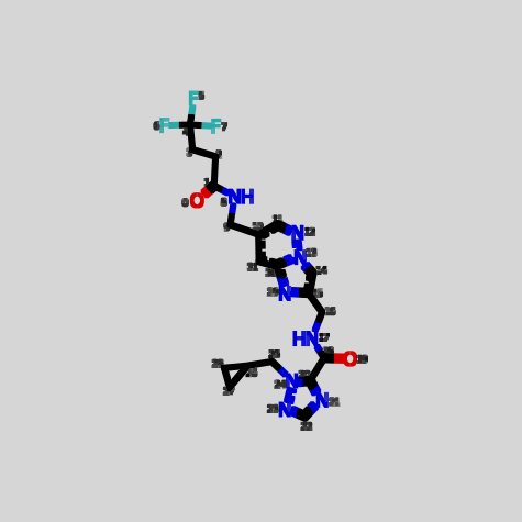 O=C(CCC(F)(F)F)NCc1cnn2cc(CNC(=O)c3ncnn3CC3CC3)nc2c1